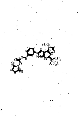 CN(C(=O)O)c1nc2[nH]c(-c3cccc(COC(=O)ON4C(=O)CCC4=O)c3)cc2c2c1ncn2C